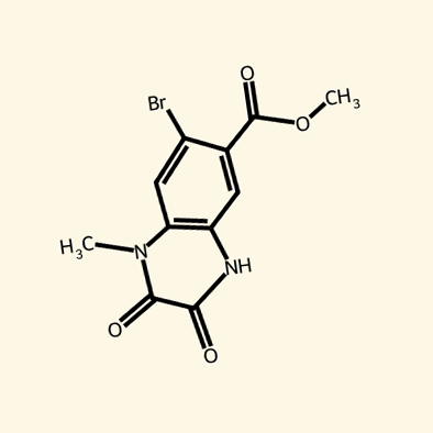 COC(=O)c1cc2[nH]c(=O)c(=O)n(C)c2cc1Br